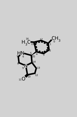 Cc1ccc([C@@H]2NCCN3C(=O)CCC23)c(C)c1